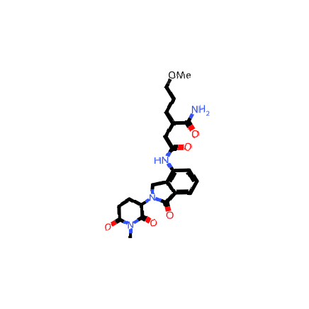 COCCCC(CC(=O)Nc1cccc2c1CN(C1CCC(=O)N(C)C1=O)C2=O)C(N)=O